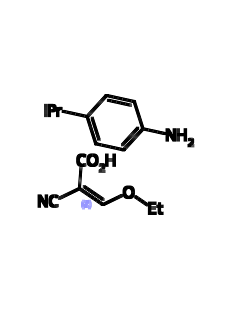 CC(C)c1ccc(N)cc1.CCO/C=C(/C#N)C(=O)O